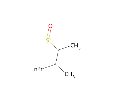 CCCC(C)C(C)[S+]=O